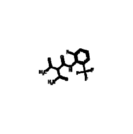 CC(=O)C(C(N)=O)C(=O)Nc1c(F)cccc1C(F)(F)F